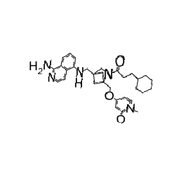 Cn1ccc(OCC23CC(CNc4cccc5c(N)nccc45)(CN2C(=O)CCC2CCCCC2)C3)cc1=O